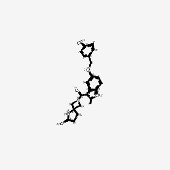 Cc1oc2ccc(OCc3ccc(Cl)cc3)cc2c1C(=O)N1CC2(CCC(=O)N2)C1